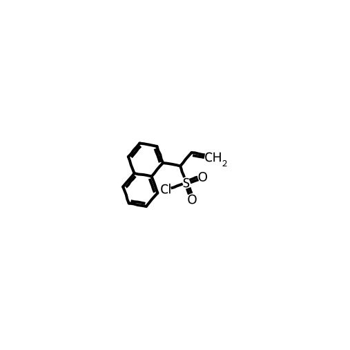 C=CC(c1cccc2ccccc12)S(=O)(=O)Cl